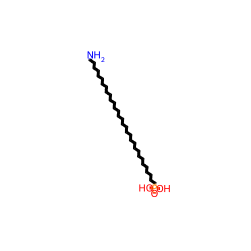 NCCCCCCCCCCCCCCCCCCCCCCCCCCCCCCCCP(=O)(O)O